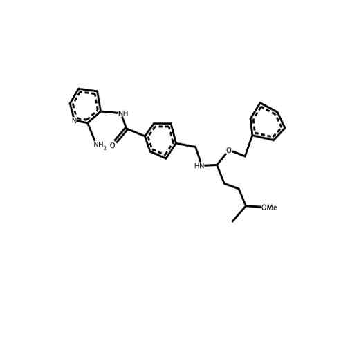 COC(C)CCC(NCc1ccc(C(=O)Nc2cccnc2N)cc1)OCc1ccccc1